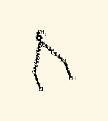 C#CC#CC#CC#COCCCOCCOCCOCCOCC(COCCOCCOCCOCCCOC#CC#CC#CC#C)c1ccc(C=C)cc1